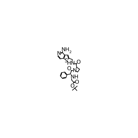 CC(C)(C)OC(=O)CN[C@@H](C(=O)N1CCC1C(=O)NCc1cc2c(N)nccc2s1)c1ccccc1